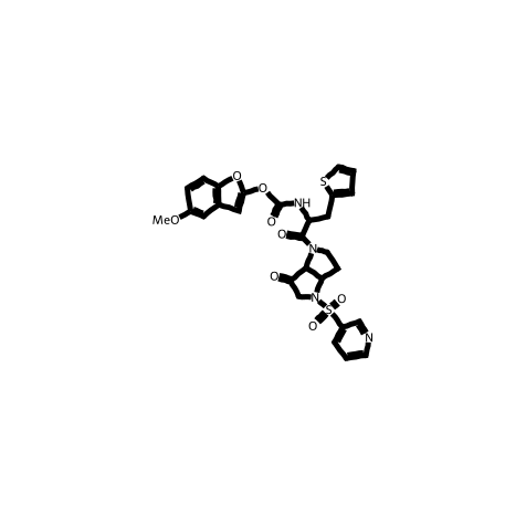 COc1ccc2oc(OC(=O)NC(Cc3cccs3)C(=O)N3CCC4C3C(=O)CN4S(=O)(=O)c3cccnc3)cc2c1